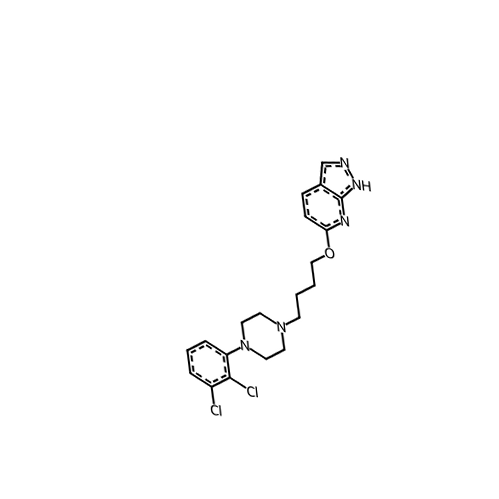 Clc1cccc(N2CCN(CCCCOc3ccc4cn[nH]c4n3)CC2)c1Cl